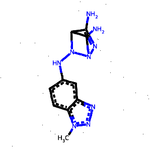 Cn1nnc2cc(NN3C4C(N)=NN3C4N)ccc21